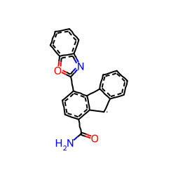 NC(=O)c1ccc(-c2nc3ccccc3o2)c2c1[CH]c1ccccc1-2